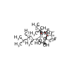 C=C(/C=C(/C)C=C(C)C)C1OC1N(NC(=O)C1=C\CC(F)/C=C(B(O)O)/C=C\1F)C(C)(C)CC